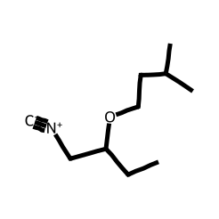 [C-]#[N+]CC(CC)OCCC(C)C